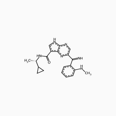 CNc1ccccc1C(=N)c1cnc2[nH]cc(C(=O)N[C@@H](C)C3CC3)c2n1